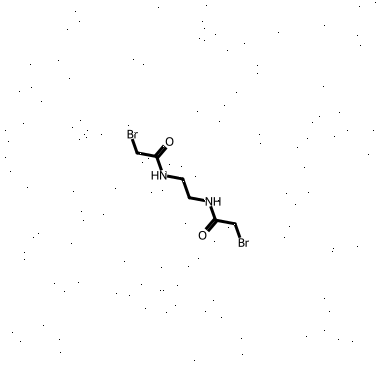 O=C(CBr)NCCNC(=O)CBr